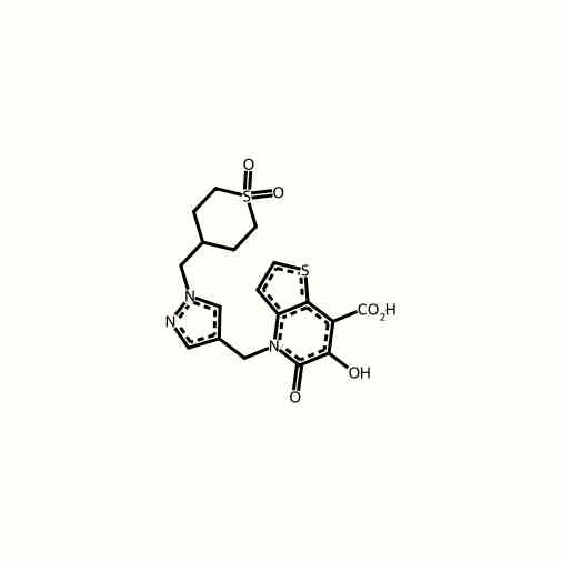 O=C(O)c1c(O)c(=O)n(Cc2cnn(CC3CCS(=O)(=O)CC3)c2)c2ccsc12